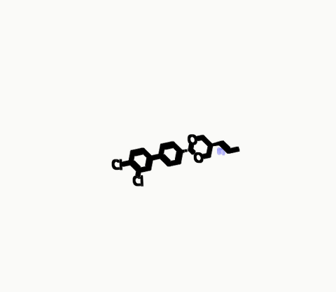 C/C=C/[C@H]1CO[C@H](c2ccc(-c3ccc(Cl)c(Cl)c3)cc2)OC1